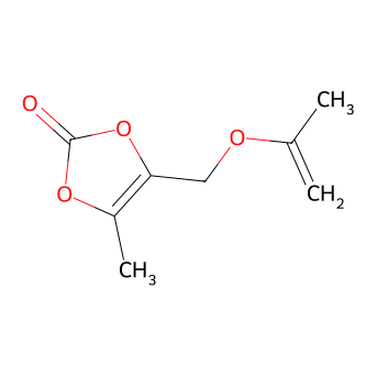 C=C(C)OCc1oc(=O)oc1C